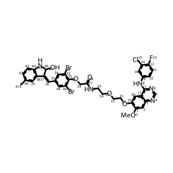 COc1cc2ncnc(Nc3ccc(F)c(Cl)c3)c2cc1OCCOCCNC(=O)COc1c(Br)cc(C=C2c3cc(I)ccc3NC2O)cc1Br